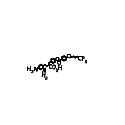 Nc1ccc(CCC(=Cc2ccc(OC(=O)c3ccc(OCCCCC(F)(F)F)cc3)cc2)C(=O)O)c(N)c1